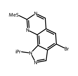 CSc1ncc2cc(Br)c3cnn(C(C)C)c3c2n1